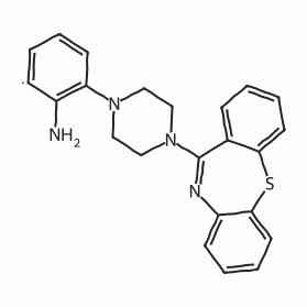 Nc1[c]cccc1N1CCN(C2=Nc3ccccc3Sc3ccccc32)CC1